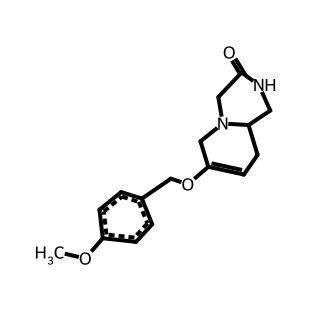 COc1ccc(COC2=CCC3CNC(=O)CN3C2)cc1